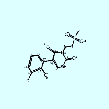 CS(=O)(=O)CCn1c(=O)[nH]cc(-c2cccc(F)c2Cl)c1=O